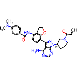 C=CC(=O)N1CCC[C@@H](n2nc(-c3ccc(NC(=O)c4ccc(N(C)C)cc4)c4c3OCC4)c3c(N)ncnc32)C1